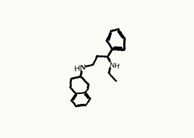 CCNC(CCNC1CCc2ccccc2C1)c1ccccc1